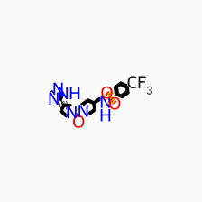 O=C(N1CCC(CNS(=O)(=O)c2ccc(C(F)(F)F)cc2)CC1)N1CC[C@H](c2ncn[nH]2)C1